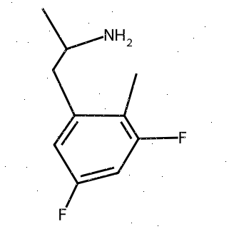 Cc1c(F)cc(F)cc1CC(C)N